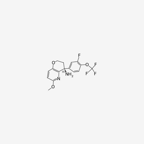 COc1ccc2c(n1)[C@@](N)(c1ccc(OC(F)(F)F)c(F)c1)CCO2